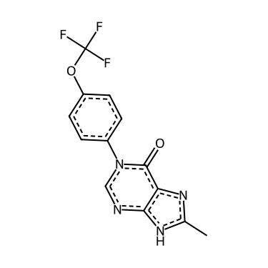 Cc1nc2c(=O)n(-c3ccc(OC(F)(F)F)cc3)cnc2[nH]1